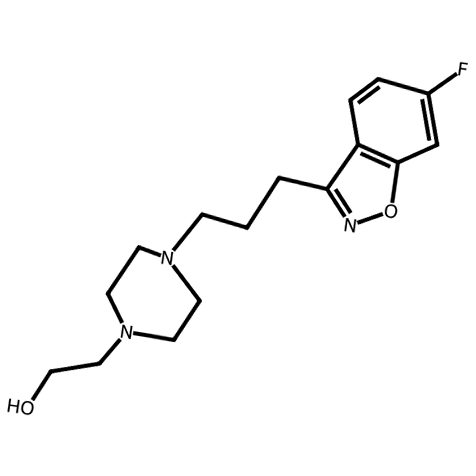 OCCN1CCN(CCCc2noc3cc(F)ccc23)CC1